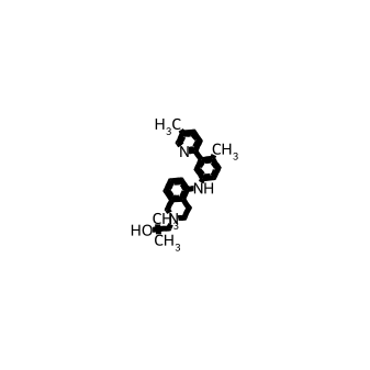 Cc1ccc(-c2cc(Nc3cccc4c3CCN(CC(C)(C)O)C4)ccc2C)nc1